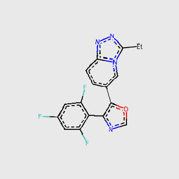 CCc1nnc2ccc(-c3ocnc3-c3c(F)cc(F)cc3F)cn12